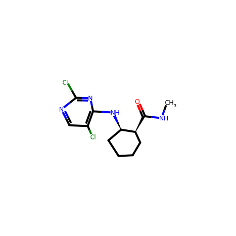 CNC(=O)[C@H]1CCCC[C@H]1Nc1nc(Cl)ncc1Cl